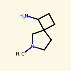 CN1CCC2(CCC2N)C1